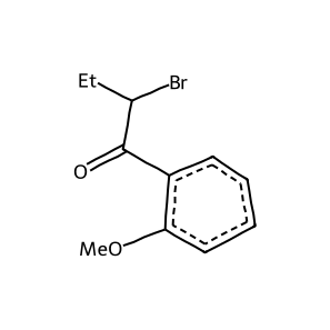 CCC(Br)C(=O)c1ccccc1OC